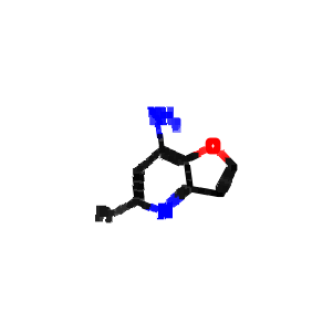 CC(C)c1cc(N)c2occc2n1